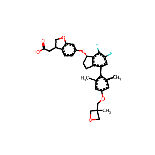 Cc1cc(OCC2(C)COC2)cc(C)c1-c1cc(F)c(F)c2c1CC[C@H]2Oc1ccc2c(c1)OCC2CC(=O)O